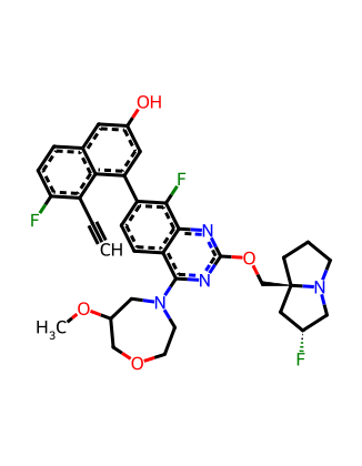 C#Cc1c(F)ccc2cc(O)cc(-c3ccc4c(N5CCOCC(OC)C5)nc(OC[C@@]56CCCN5C[C@H](F)C6)nc4c3F)c12